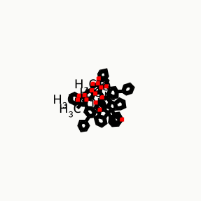 Cc1cccc(-c2cc(-c3ccccc3)cc(F)c2N(c2ccc3c(c2)C(c2ccccc2)(C2(c4ccccc4)c4ccccc4-c4ccc(N(c5c(F)cc(-c6ccccc6)cc5-c5cccc(C)c5C)c5cccc6c5oc5ccccc56)cc42)c2ccccc2-3)c2cccc3c2oc2ccccc23)c1C